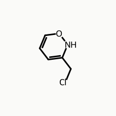 ClCC1=CC=CON1